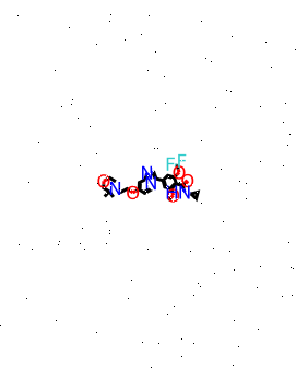 COc1cc(-c2cnc3cc(OCCN4CCOCC4(C)C)ccn23)cc(OC(F)F)c1C(=O)NC1CC1